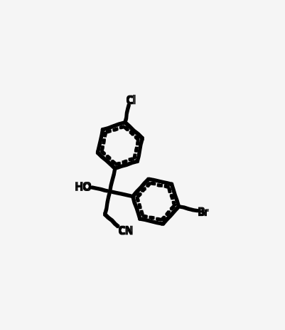 N#CCC(O)(c1ccc(Cl)cc1)c1ccc(Br)cc1